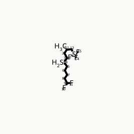 CC(CC[SiH2]CCCCC(F)F)C[Si](F)(F)F